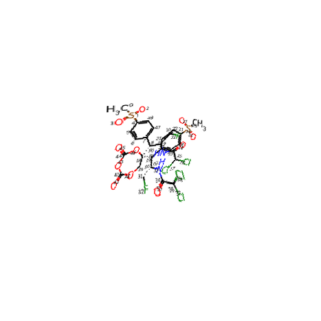 CS(=O)(=O)c1ccc([C@H]([C@@H](CF)NC(=O)C(Cl)Cl)C2([C@H](c3ccc(S(C)(=O)=O)cc3)[C@@H](CF)NC(=O)C(Cl)Cl)COC(=O)OC(=O)O2)cc1